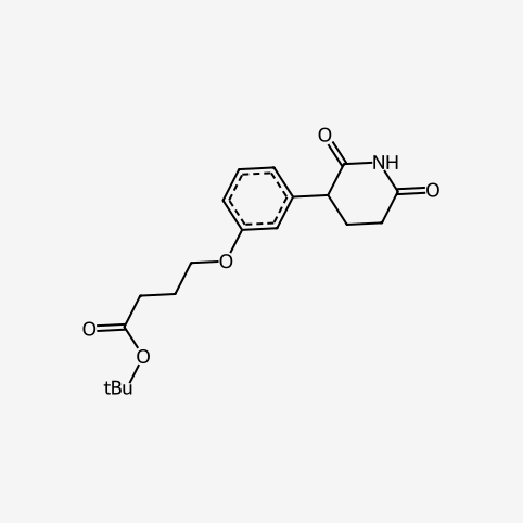 CC(C)(C)OC(=O)CCCOc1cccc(C2CCC(=O)NC2=O)c1